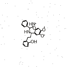 CNC(=O)C(N[C@H](CCc1ccccc1O)c1ccc(OC)c(OC)c1)c1ccccc1